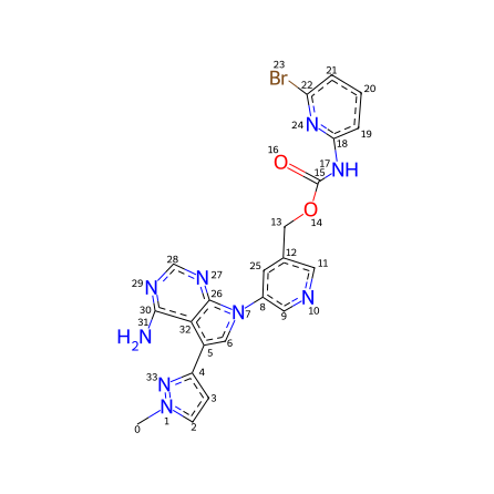 Cn1ccc(-c2cn(-c3cncc(COC(=O)Nc4cccc(Br)n4)c3)c3ncnc(N)c23)n1